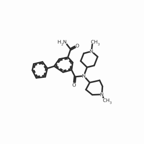 CN1CCC(N(C(=O)c2cc(C(N)=O)cc(-c3ccccc3)c2)C2CCN(C)CC2)CC1